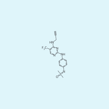 C#CCNc1nc(Nc2ccc(N=S(C)(C)=O)cc2)ncc1C(F)(F)F